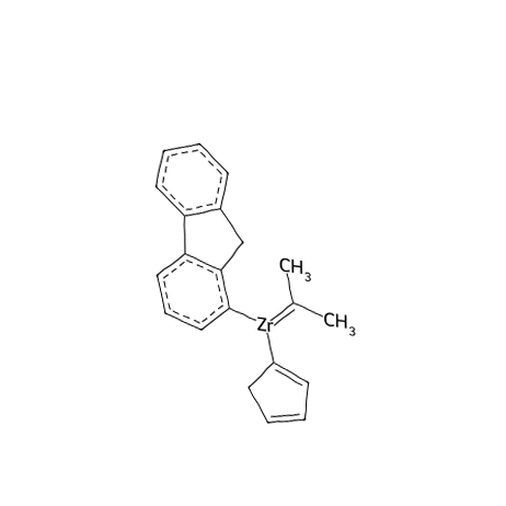 C[C](C)=[Zr]([C]1=CC=CC1)[c]1cccc2c1Cc1ccccc1-2